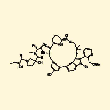 C/C=C(\C#N)C(=O)N1CCC(O)(C(=O)N(C)[C@H](C(=O)N[C@H]2Cc3cc(O)cc(c3)-c3ccc4c(c3)c(c(-c3cccnc3COC)n4CC)CC(C)(C)COC(=O)[C@@]3(O)CCCN(N3)C2=O)C(C)C)C1